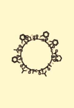 CC(C)C[C@@H]1NC(=O)[C@H](Cc2ccccc2)N(C)C(=O)[C@H]([C@@H](C)O)NC(=O)[C@H](Cc2ccccc2)NC(=O)[C@H](Cc2ccccc2)N(C)C(=O)C[C@@H](C(=O)N2CCCCC2)NC(O)[C@H](C)N(C)C(=O)[C@H](CC(C)C)N(C)C(=O)CN(C)C(=O)[C@H](CC(C)C)N(C)C(=O)[C@H](Cc2ccccc2)N(C)C1=O